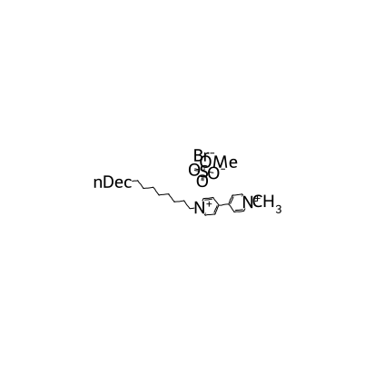 CCCCCCCCCCCCCCCCCC[n+]1ccc(-c2cc[n+](C)cc2)cc1.COS(=O)(=O)[O-].[Br-]